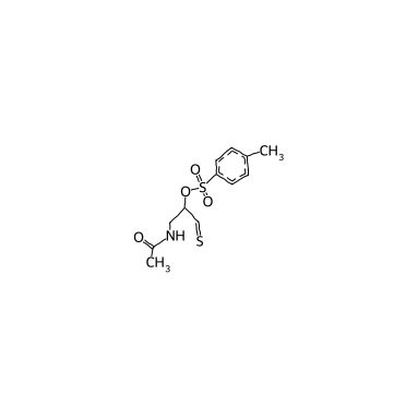 CC(=O)NCC(C=S)OS(=O)(=O)c1ccc(C)cc1